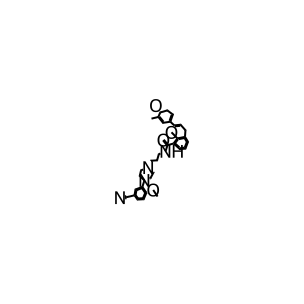 COc1ccc(C#N)cc1N1CCN(CCCNC(=O)c2cccc3c2OC(C2=CCC(=O)C(C)=C2)=CC3)CC1